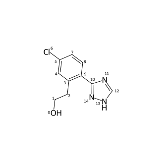 OCCc1cc(Cl)ccc1-c1nc[nH]n1